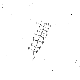 CC(F)(C(F)(F)F)C(F)(F)C(F)(F)C(F)(F)C(F)(F)C(F)(F)C(F)(F)CCI